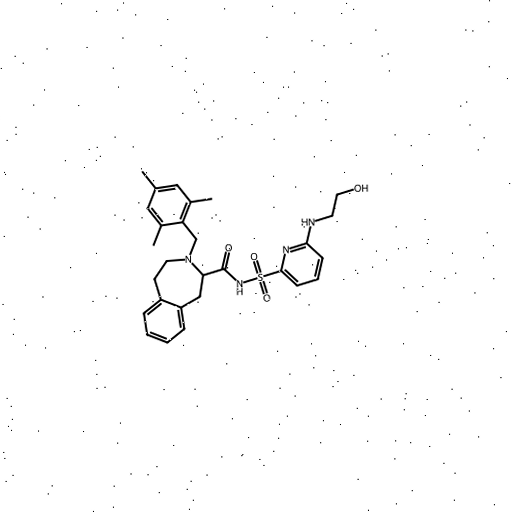 Cc1cc(C)c(CN2CCc3ccccc3CC2C(=O)NS(=O)(=O)c2cccc(NCCO)n2)c(C)c1